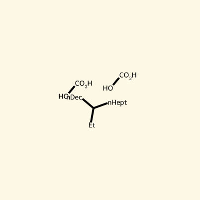 CCCCCCCCCCC(CC)CCCCCCC.O=C(O)O.O=C(O)O